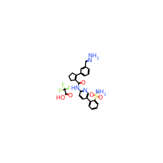 NN=Cc1cccc(C2=C(C(=O)Nc3ccc(-c4ccccc4S(N)(=O)=O)cn3)CCC2)c1.O=C(O)C(F)(F)F